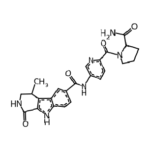 CC1CNC(=O)c2[nH]c3ccc(C(=O)Nc4ccc(C(=O)N5CCCC5C(N)=O)nc4)cc3c21